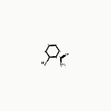 CC1CCCCC1.NC=O